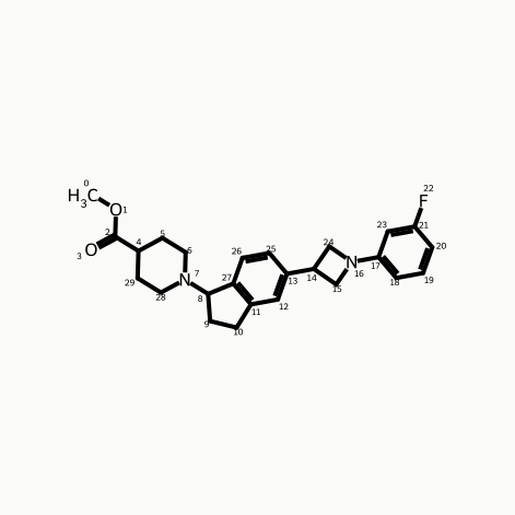 COC(=O)C1CCN(C2CCc3cc(C4CN(c5cccc(F)c5)C4)ccc32)CC1